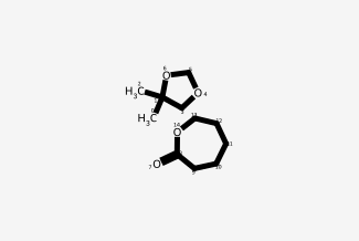 CC1(C)COCO1.O=C1CCCCCO1